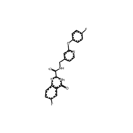 O=C(NCc1ccnc(Oc2ccc(F)cc2)c1)c1nc2ccc(F)cc2c(=O)[nH]1